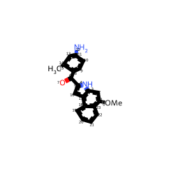 COc1cc2[nH]c(C(=O)c3ccc(N)cc3C)cc2c2ccccc12